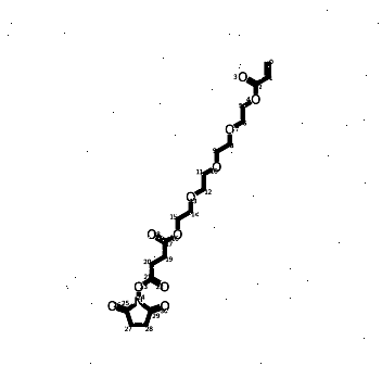 C=CC(=O)OCCOCCOCCOCCOC(=O)CCC(=O)ON1C(=O)CCC1=O